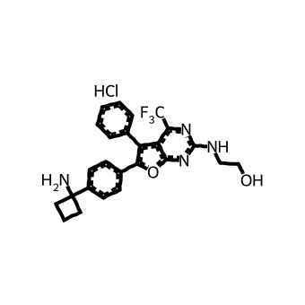 Cl.NC1(c2ccc(-c3oc4nc(NCCO)nc(C(F)(F)F)c4c3-c3ccccc3)cc2)CCC1